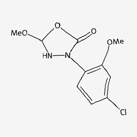 COc1cc(Cl)ccc1N1NC(OC)OC1=O